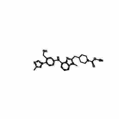 Cc1cn(-c2ccc(Nc3cccc4c3nc(CC3CCN(C(=O)OC(C)(C)C)CC3)n4C)cc2CO)cn1